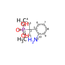 CCC(CC)(c1ccccc1N)P(=O)(O)O